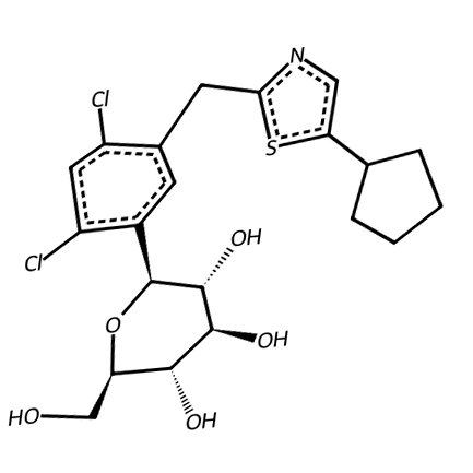 OC[C@H]1O[C@@H](c2cc(Cc3ncc(C4CCCC4)s3)c(Cl)cc2Cl)[C@H](O)[C@@H](O)[C@@H]1O